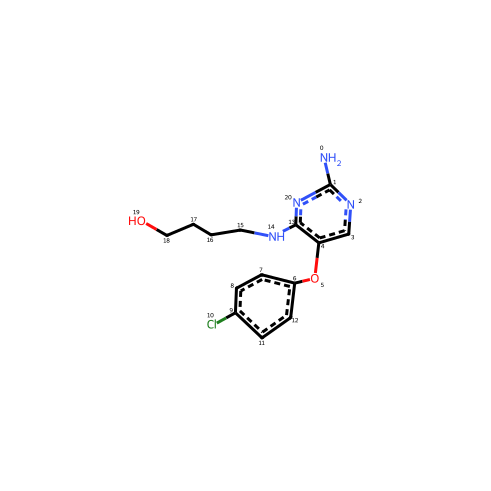 Nc1ncc(Oc2ccc(Cl)cc2)c(NCCCCO)n1